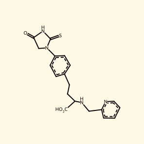 O=C1CN(c2ccc(CCC(NCc3ccccn3)C(=O)O)cc2)C(=S)N1